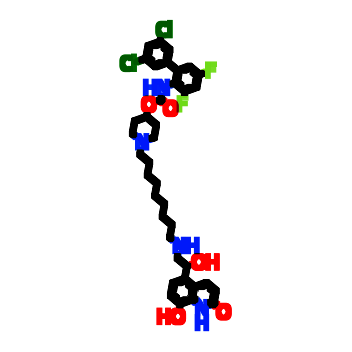 O=C(Nc1c(F)cc(F)cc1-c1cc(Cl)cc(Cl)c1)OC1CCN(CCCCCCCCCNC[C@@H](O)c2ccc(O)c3[nH]c(=O)ccc23)CC1